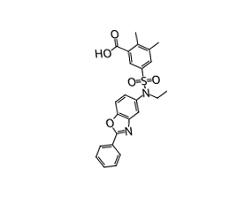 CCN(c1ccc2oc(-c3ccccc3)nc2c1)S(=O)(=O)c1cc(C)c(C)c(C(=O)O)c1